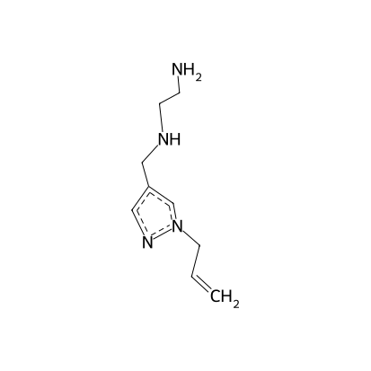 C=CCn1cc(CNCCN)cn1